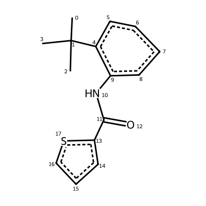 CC(C)(C)c1ccccc1NC(=O)c1cccs1